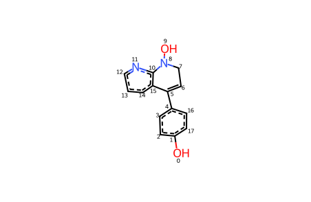 Oc1ccc(C2=CCN(O)c3ncccc32)cc1